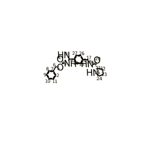 N=C(NC(=O)OCc1ccccc1)c1ccc(CNC(=O)[C@@H]2CCCN2)cc1